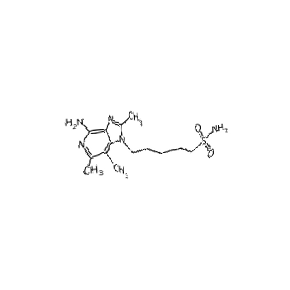 Cc1nc(N)c2nc(C)n(CCCCCS(N)(=O)=O)c2c1C